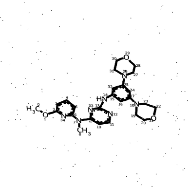 COc1cccc(N(C)c2ccnc(Nc3cc(N4CCOCC4)cc(N4CCOCC4)c3)n2)n1